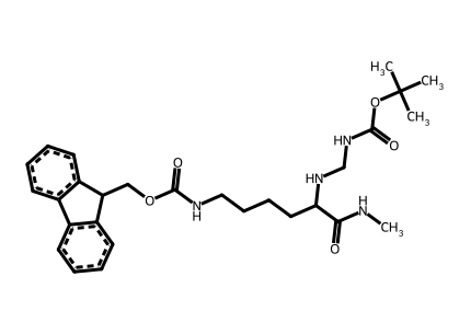 CNC(=O)C(CCCCNC(=O)OCC1c2ccccc2-c2ccccc21)NCNC(=O)OC(C)(C)C